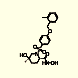 Cc1ccccc1COc1ccc(S(=O)(=O)N2C[C@](C)(O)CC[C@@H]2C(=O)NO)cc1